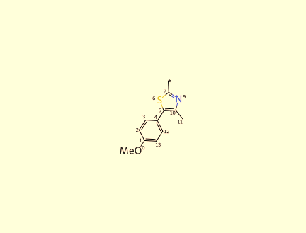 COc1ccc(-c2sc(C)nc2C)cc1